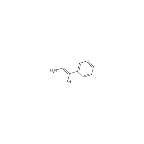 N/C=C(\S)c1ccccc1